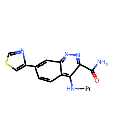 CC(C)Nc1c(C(N)=O)nnc2cc(-c3cscn3)ccc12